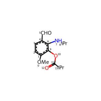 COc1ccc(C=O)c(NC(C)C)c1OC(=O)C(C)C